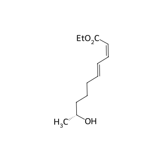 CCOC(=O)/C=C\C=C\CCC[C@@H](C)O